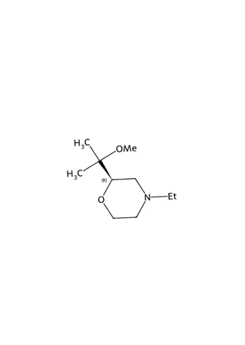 CCN1CCO[C@@H](C(C)(C)OC)C1